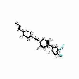 C/C=C/C1CCC(C#Cc2ccc(-c3ccc(F)c(F)c3)cc2)CC1